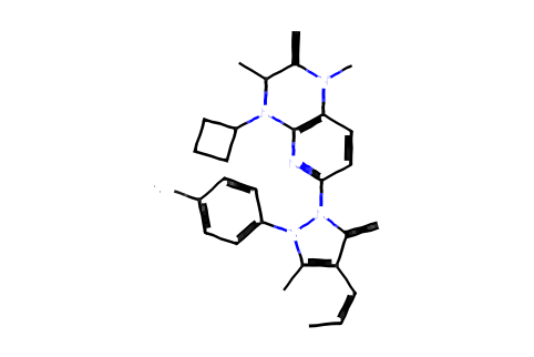 C=C1C(C)N(C2CCC2)c2nc(N3C(=C)C(/C=C\C)=C(C)N3c3ccc(C#N)cc3)ccc2N1C